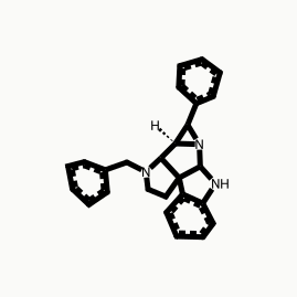 c1ccc(CN2CCC34c5ccccc5NC3N3C(c5ccccc5)[C@@H]3C24)cc1